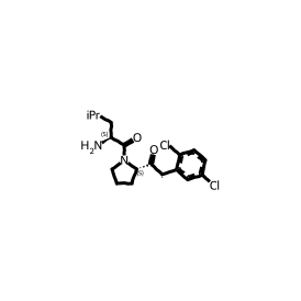 CC(C)C[C@H](N)C(=O)N1CCC[C@H]1C(=O)[CH]c1cc(Cl)ccc1Cl